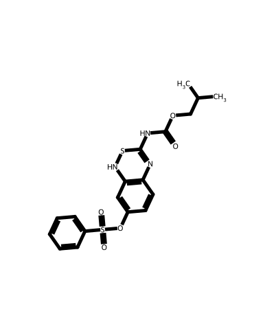 CC(C)COC(=O)NC1=Nc2ccc(OS(=O)(=O)c3ccccc3)cc2NS1